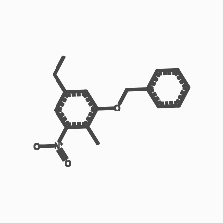 CCc1cc(OCc2ccccc2)c(C)c([N+](=O)[O-])c1